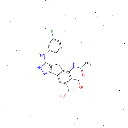 CC(=O)Nc1c(CO)c(CO)cc2c1Cc1c-2n[nH]c1Nc1cccc(F)c1